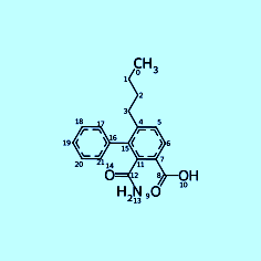 CCCCc1ccc(C(=O)O)c(C(N)=O)c1-c1ccccc1